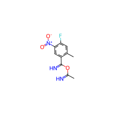 CC(=N)OC(=N)c1cc([N+](=O)[O-])c(F)cc1C